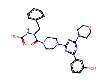 O=C(O)NC(Cc1ccccc1)C(=O)N1CCN(c2nc(-c3cccc(O)c3)nc(N3CCOCC3)n2)CC1